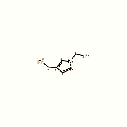 CC(C)Cc1cnn(CC(C)C)c1